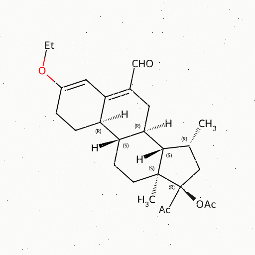 CCOC1=CC2=C(C=O)C[C@@H]3[C@H](CC[C@@]4(C)[C@H]3[C@H](C)C[C@]4(OC(C)=O)C(C)=O)[C@H]2CC1